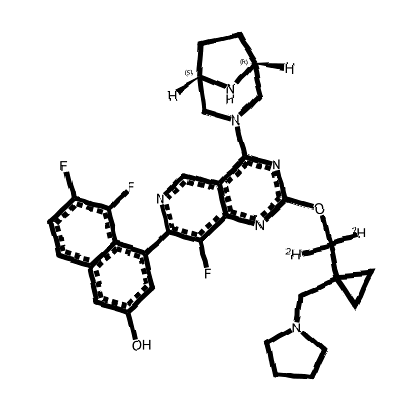 [2H]C([2H])(Oc1nc(N2C[C@H]3CC[C@@H](C2)N3)c2cnc(-c3cc(O)cc4ccc(F)c(F)c34)c(F)c2n1)C1(CN2CCCC2)CC1